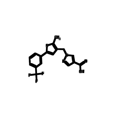 Cc1sc(-c2cccc(C(F)(F)F)c2)cc1Cn1cc(C(=O)O)cn1